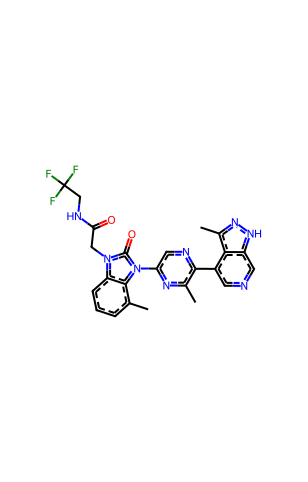 Cc1nc(-n2c(=O)n(CC(=O)NCC(F)(F)F)c3cccc(C)c32)cnc1-c1cncc2[nH]nc(C)c12